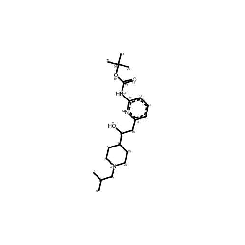 C[C](C)CN1CCC(C(O)Cc2cccc(NC(=O)OC(C)(C)C)n2)CC1